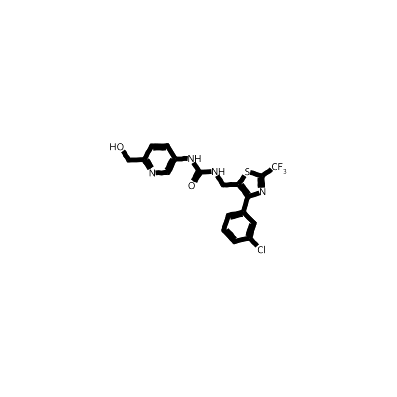 O=C(NCc1sc(C(F)(F)F)nc1-c1cccc(Cl)c1)Nc1ccc(CO)nc1